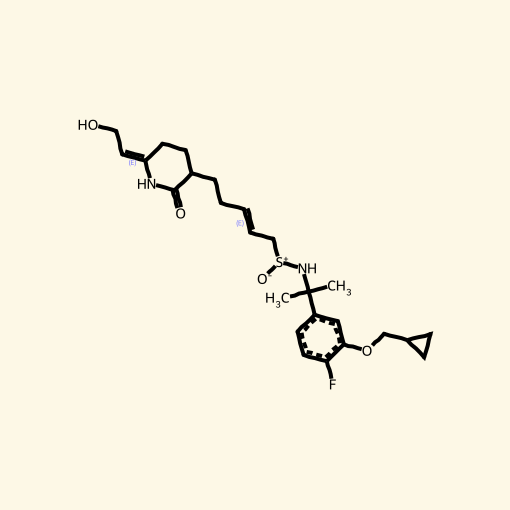 CC(C)(N[S+]([O-])C/C=C/CCC1CC/C(=C\CO)NC1=O)c1ccc(F)c(OCC2CC2)c1